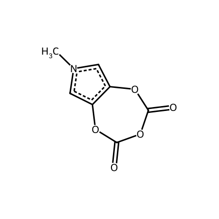 Cn1cc2c(c1)OC(=O)OC(=O)O2